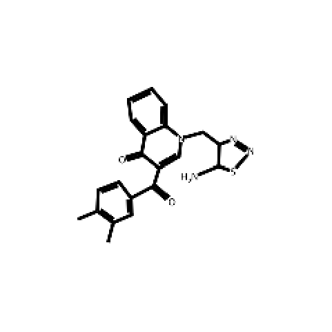 Cc1ccc(C(=O)c2cn(CC3N=NSC3N)c3ccccc3c2=O)cc1C